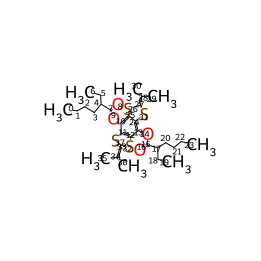 CCCCC(CC)C(=O)Oc1c2c(c(OC(=O)C(CC)CCCC)c3c1SC(=C(C)C)S3)SC(=C(C)C)S2